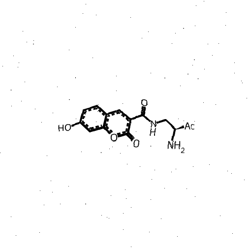 CC(=O)[C@@H](N)CNC(=O)c1cc2ccc(O)cc2oc1=O